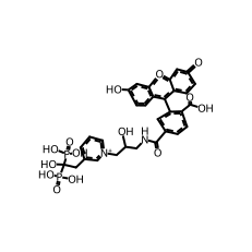 O=C(NCC(O)C[n+]1cccc(CC(O)(P(=O)(O)O)P(=O)(O)O)c1)c1ccc(C(=O)O)c(-c2c3ccc(=O)cc-3oc3cc(O)ccc23)c1